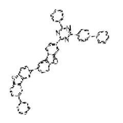 c1ccc(-c2ccc(-c3nc(-c4ccccc4)nc(-c4ccc5c(c4)oc4ccc(-c6ccc7sc8ccc(-c9ccccc9)cc8c7c6)cc45)n3)cc2)cc1